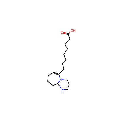 O=C(O)CCCCCCCC1=CCCCC2NCCCN12